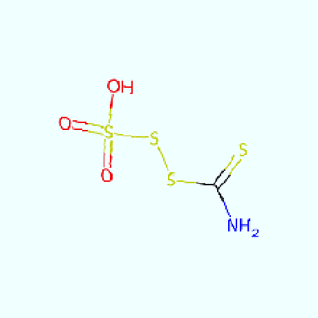 NC(=S)SSS(=O)(=O)O